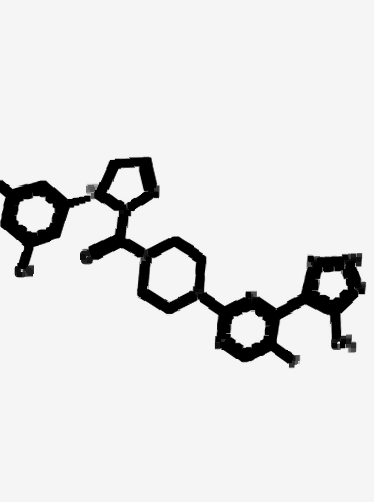 Cc1n[nH]nc1-c1nc(N2CCN(C(=O)N3N=CC[C@H]3c3cc(F)cc(C#N)c3)CC2)ncc1F